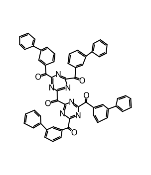 O=C(c1cccc(-c2ccccc2)c1)c1nc(C(=O)c2cccc(-c3ccccc3)c2)nc(C(=O)c2nc(C(=O)c3cccc(-c4ccccc4)c3)nc(C(=O)c3cccc(-c4ccccc4)c3)n2)n1